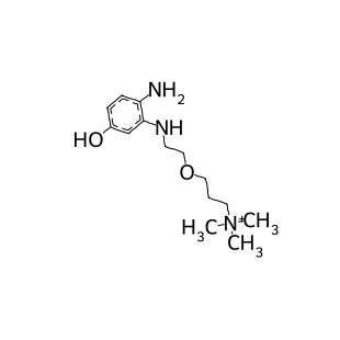 C[N+](C)(C)CCCOCCNc1cc(O)ccc1N